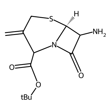 C=C1CS[C@H]2C(N)C(=O)N2C1C(=O)OC(C)(C)C